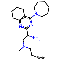 CSCCN(C)CC(N)c1nc2c(c(N3CCCCCC3)n1)CCCC2